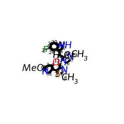 COc1ccc(-c2sc(C)nc2C(=O)N(CCc2c[nH]c3ccc(F)cc23)CCN(C)C)cn1